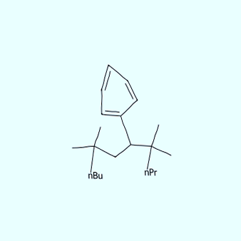 CCCCC(C)(C)CC(c1ccccc1)C(C)(C)CCC